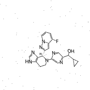 OC(c1cnc(N2CCc3[nH]cnc3[C@@H]2c2cc3c(F)cccn3n2)cn1)C1CC1